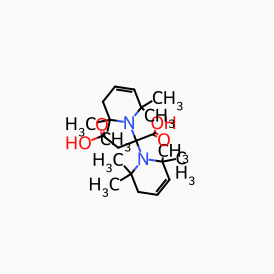 CC1(C)C=CCC(C)(C)N1C(CC(=O)O)(C(=O)O)N1C(C)(C)C=CCC1(C)C